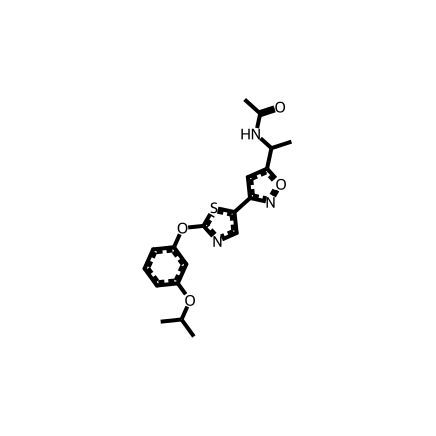 CC(=O)NC(C)c1cc(-c2cnc(Oc3cccc(OC(C)C)c3)s2)no1